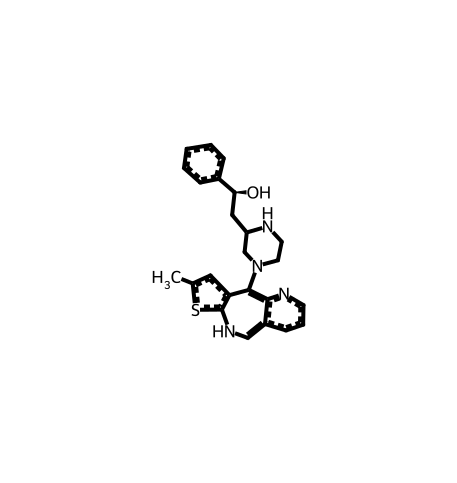 Cc1cc2c(s1)NC=c1cccnc1=C2N1CCNC(C[C@H](O)c2ccccc2)C1